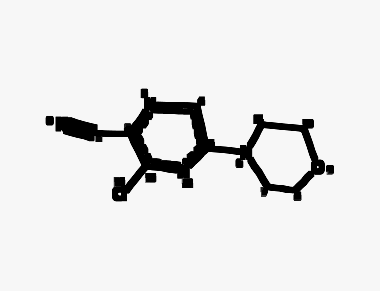 N#Cc1ncc(N2CCOCC2)nc1Cl